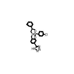 CC(CN(Cc1ccc(-c2nnn[nH]2)cc1)S(=O)(=O)c1ccc(Cl)cc1)c1ccccc1